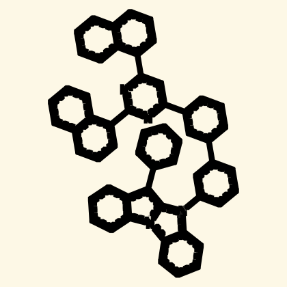 c1ccc(-c2c3ccccc3n3c4ccccc4n(-c4cccc(-c5cccc(-c6cc(-c7cccc8ccccc78)nc(-c7cccc8ccccc78)n6)c5)c4)c23)cc1